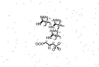 CNC(=N)[N+](C)(C)C.CNC(=N)[N+](C)(C)C.CNC(=N)[N+](C)(C)C.O=C([O-])CNCP(=O)([O-])[O-]